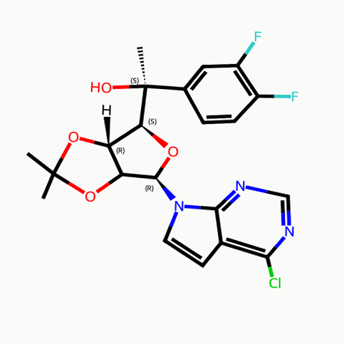 CC1(C)OC2[C@H](n3ccc4c(Cl)ncnc43)O[C@H]([C@@](C)(O)c3ccc(F)c(F)c3)[C@H]2O1